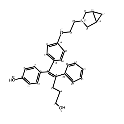 OCCC/C(=C(\c1ccc(O)cc1)c1ccc(OCCN2CC3CC3C2)cc1)c1ccccc1